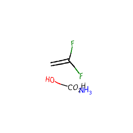 C=C(F)F.N.O=C(O)O